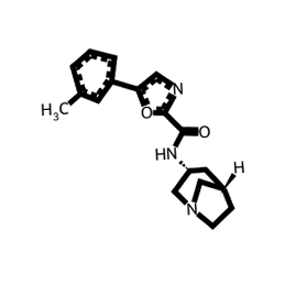 Cc1cccc(-c2cnc(C(=O)N[C@@H]3C[C@@H]4CCN(C4)C3)o2)c1